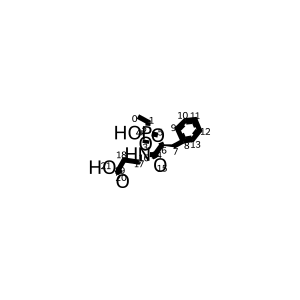 CCP(=O)(O)O[C@@H](Cc1ccccc1)C(=O)NCCC(=O)O